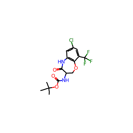 CC(C)(C)OC(=O)NC1COc2c(cc(Cl)cc2C(F)(F)F)NC1=O